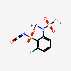 CN(c1cccc(F)c1S(=O)(=O)N=C=O)S(C)(=O)=O